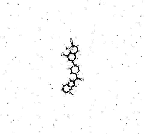 Cc1cccc2nc(C(=O)N3CCN(c4cc(Cl)c5c(c4)CCC(=O)N5)CC3)cn12